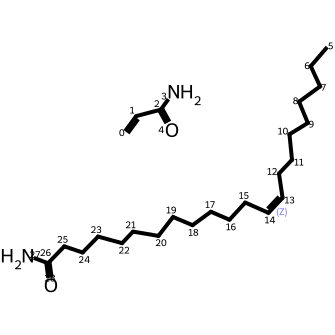 C=CC(N)=O.CCCCCCCC/C=C\CCCCCCCCCCCC(N)=O